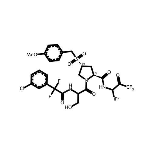 COc1ccc(CS(=O)(=O)[C@@H]2C[C@@H](C(=O)NC(C(=O)C(F)(F)F)C(C)C)N(C(=O)C(CO)NC(=O)C(F)(F)c3cccc(Cl)c3)C2)cc1